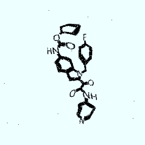 O=C(Nc1ccc2cc(C(=O)C(=O)Nc3ccncc3)n(Cc3ccc(F)cc3)c2c1)OC1CCCC1